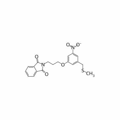 CSCc1cc(OCCCN2C(=O)c3ccccc3C2=O)cc([N+](=O)[O-])c1